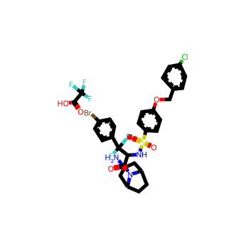 NC1CC2CCC(C1)N2C(=O)C(NS(=O)(=O)c1ccc(OCc2ccc(Cl)cc2)cc1)C(F)(F)c1ccc(Br)cc1.O=C(O)C(F)(F)F